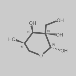 OC[C@]1(O)[C@H](O)OC[C@@H](O)[C@H]1O